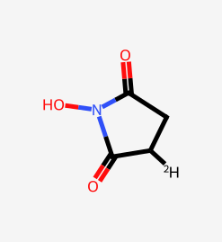 [2H]C1CC(=O)N(O)C1=O